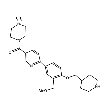 COCc1cc(-c2ccc(C(=O)N3CCN(C)CC3)cn2)ccc1OCC1CCNCC1